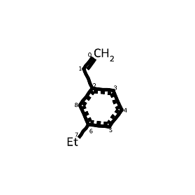 C=[C]c1cccc(CC)c1